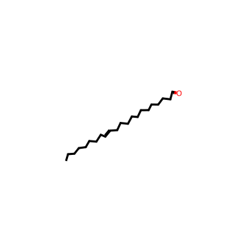 CCCCCCCCC=CCCCCCCCCCCCC=O